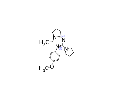 CCN1CCC/C1=N/C(=N/c1ccc(OC)cc1)N1CCCC1